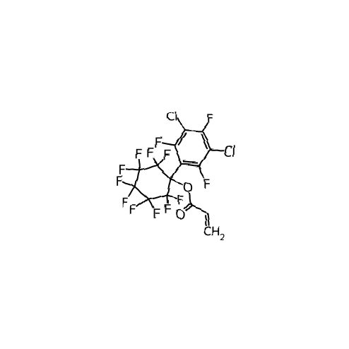 C=CC(=O)OC1(c2c(F)c(Cl)c(F)c(Cl)c2F)C(F)(F)C(F)(F)C(F)(F)C(F)(F)C1(F)F